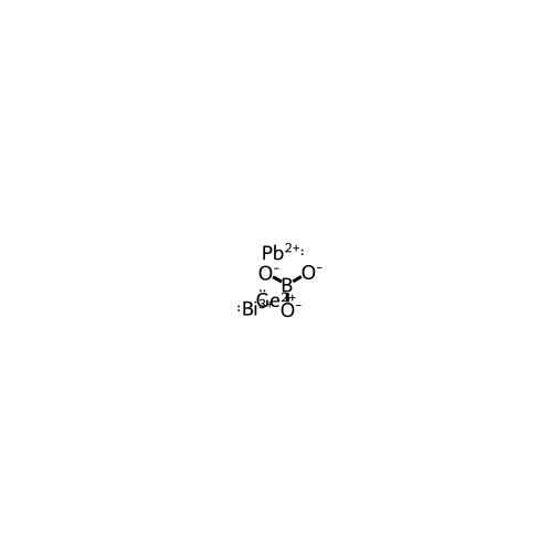 [Bi+3].[Ge+2].[O-]B([O-])[O-].[Pb+2]